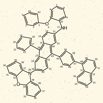 c1ccc(Oc2ccccc2Nc2ccc3c(-c4ccccc4)c4cc(N5c6ccccc6Oc6ccccc65)ccc4c(-c4ccc(-c5cccc6ccccc56)cc4)c3c2)cc1